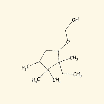 CCC1(C)C(OCO)CC(C)C1(C)C